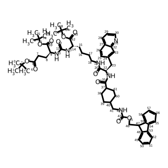 CC(C)(C)OC(=O)CC[C@H](NC(=O)N[C@@H](CCCCNC(=O)[C@@H](Cc1ccc2cccnc2c1)NC(=O)C1CCC(CNC(=O)OCC2c3ccccc3-c3ccccc32)CC1)C(=O)OC(C)(C)C)C(=O)OC(C)(C)C